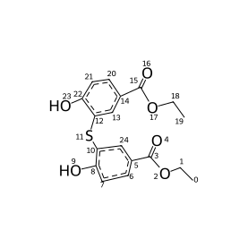 CCOC(=O)c1ccc(O)c(Sc2cc(C(=O)OCC)ccc2O)c1